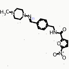 CN1CCN(/N=C/c2ccc(CNC(=O)c3ccc([N+](=O)[O-])o3)cc2)CC1